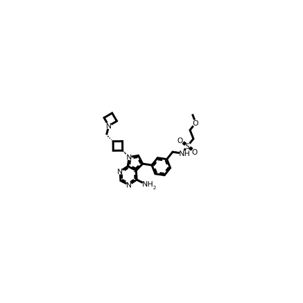 COCCS(=O)(=O)NCc1cccc(-c2cn([C@H]3C[C@@H](CN4CCC4)C3)c3ncnc(N)c23)c1